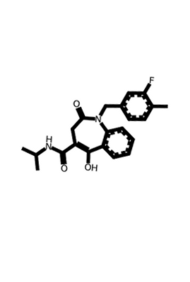 Cc1ccc(CN2C(=O)CC(C(=O)NC(C)C)=C(O)c3ccccc32)cc1F